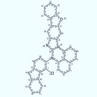 Clc1c(-n2c3cccc4cccc(c43)n3c4cc5oc6ccccc6c5cc4nc23)ccc2sc3ccccc3c12